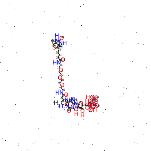 C[C@@H](CC(=O)NCCOCCOCCOCCNC(=O)CCCC[C@@H]1SC[C@H]2NC(=O)N[C@@H]12)NC(=O)c1ncn([C@@H]2O[C@H](COP(=O)(O)OP(=O)(O)OP(=O)(O)O)[C@H](O)C2O)c1NC(N)=O